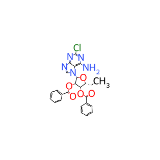 CC[C@H]1O[C@@H](n2cnc3nc(Cl)nc(N)c32)C(OC(=O)c2ccccc2)[C@H]1OC(=O)c1ccccc1